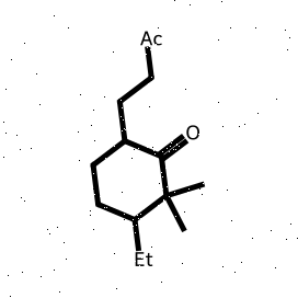 CCC1CCC(CCC(C)=O)C(=O)C1(C)C